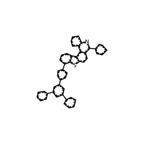 c1ccc(-c2cc(-c3ccccc3)cc(-c3ccc(-c4cccc5c4sc4ccc6c(-c7ccccc7)nc7ccccc7c6c45)cc3)c2)cc1